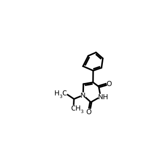 CC(C)n1cc(-c2ccccc2)c(=O)[nH]c1=O